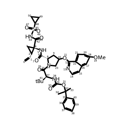 C=C[C@@H]1C[C@]1(NC(=O)[C@@H]1CC(Oc2nccc3cc(OC)ccc23)CN1C(=O)[C@@H](NC(=O)OC(C)(C)c1ccccc1)C(C)(C)C)C(=O)NS(=O)(=O)C1CC1